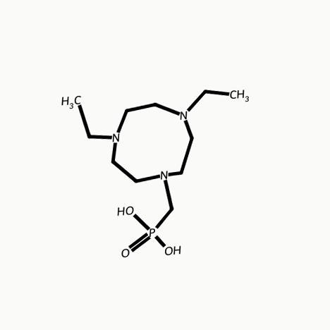 CCN1CCN(CC)CCN(CP(=O)(O)O)CC1